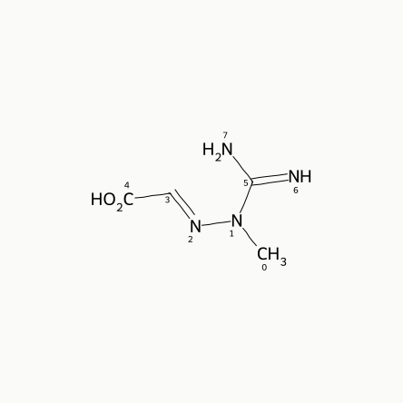 CN(N=CC(=O)O)C(=N)N